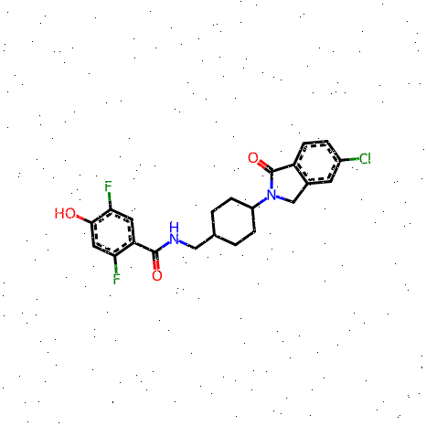 O=C(NCC1CCC(N2Cc3cc(Cl)ccc3C2=O)CC1)c1cc(F)c(O)cc1F